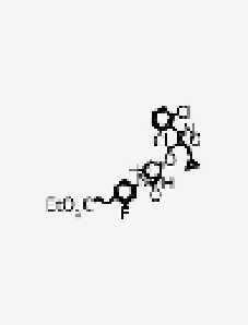 CCOC(=O)CCc1ccc(N2C(=O)[C@@H]3C[C@H]2C[C@H]3OCc2c(-c3c(Cl)cccc3Cl)noc2C2CC2)cc1F